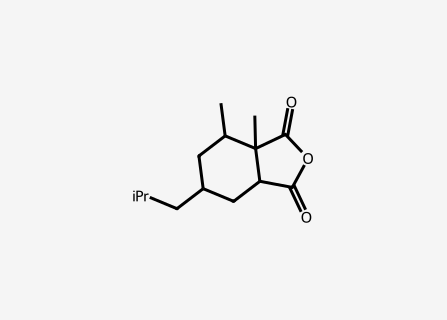 CC(C)CC1CC(C)C2(C)C(=O)OC(=O)C2C1